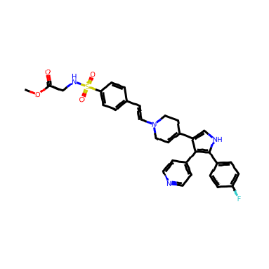 COC(=O)CNS(=O)(=O)c1ccc(C=CN2CC=C(c3c[nH]c(-c4ccc(F)cc4)c3-c3ccncc3)CC2)cc1